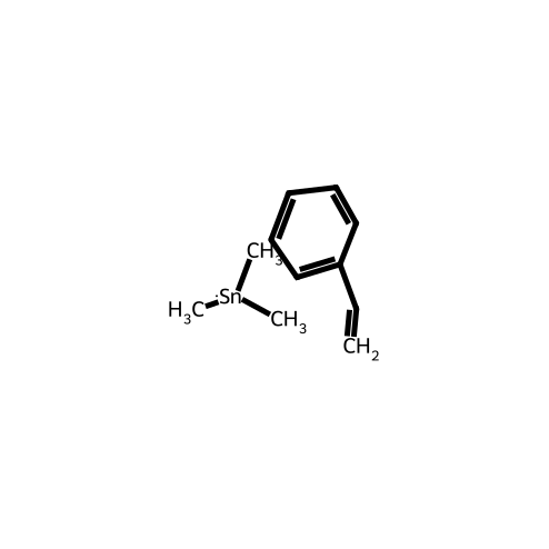 C=Cc1ccccc1.[CH3][Sn]([CH3])[CH3]